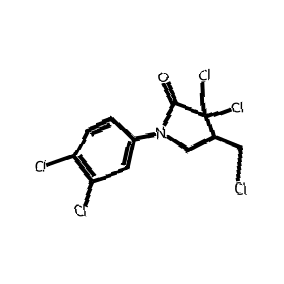 O=C1N(c2ccc(Cl)c(Cl)c2)CC(CCl)C1(Cl)Cl